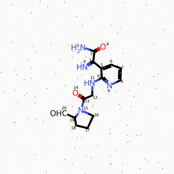 N=C(C(N)=O)c1cccnc1NCC(=O)N1CCCC1C=O